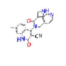 Cc1ccc2c(N(Cc3ccncc3)C(=O)C3CNC3)c(C#N)c(=O)[nH]c2c1